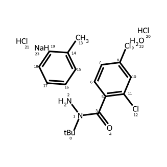 CC(C)(C)N(N)C(=O)c1ccc(Cl)cc1Cl.Cc1ccccc1.Cl.Cl.O.[NaH]